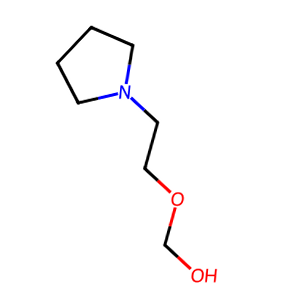 OCOCCN1CCCC1